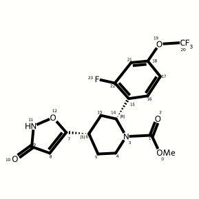 COC(=O)N1CC[C@H](c2cc(=O)[nH]o2)C[C@@H]1c1ccc(OC(F)(F)F)cc1F